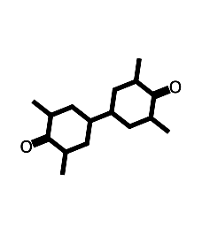 CC1CC(C2CC(C)C(=O)C(C)C2)CC(C)C1=O